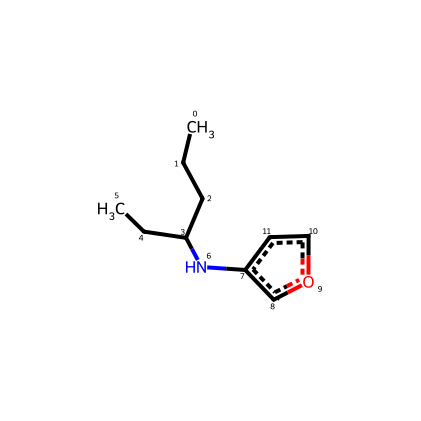 CCCC(CC)Nc1[c]occ1